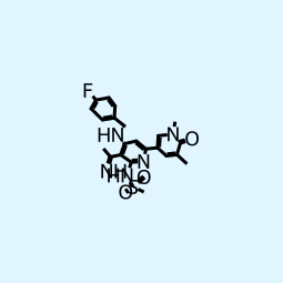 CC(=N)c1c(NCc2ccc(F)cc2)cc(-c2cc(C)c(=O)n(C)c2)nc1NS(C)(=O)=O